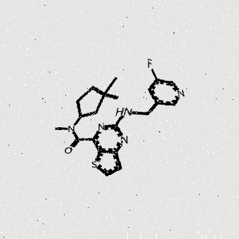 CN(C(=O)c1nc(NCc2cncc(F)c2)nc2ccsc12)C1CCC(C)(C)C1